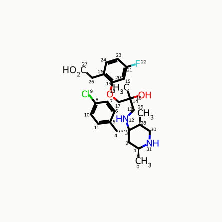 C[C@H]1C[C@@](Cc2ccc(Cl)cc2)(NCC(C)(O)COc2cc(F)ccc2CC(=O)O)[C@@H](C)CN1